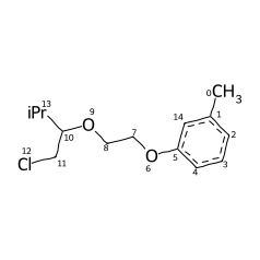 Cc1cccc(OCCOC(CCl)C(C)C)c1